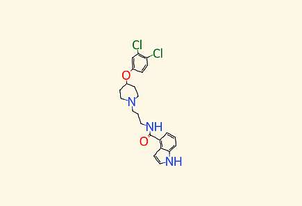 O=C(NCCCN1CCC(Oc2ccc(Cl)c(Cl)c2)CC1)c1cccc2[nH]ccc12